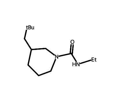 CCNC(=O)N1CCCC(CC(C)(C)C)C1